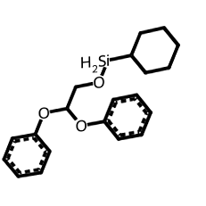 c1ccc(OC(CO[SiH2]C2CCCCC2)Oc2ccccc2)cc1